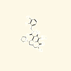 CCN1CC2C[C@@H](N3CCCC3)c3c(C(=O)NCc4cccc(Cl)c4F)c(=O)c(O)c(n32)C1=O